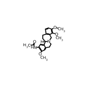 COc1cc2c(cc1NC(C)=O)[C@@H]1CCc3ccc(OC)c(OC)c3CN1CC2